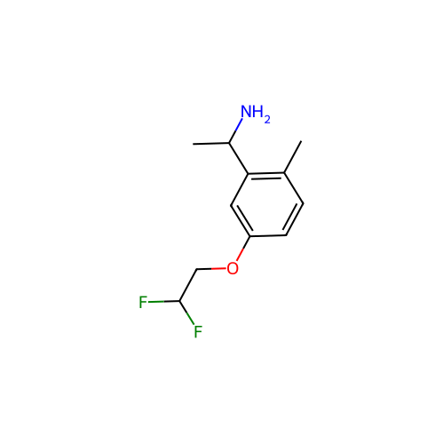 Cc1ccc(OCC(F)F)cc1C(C)N